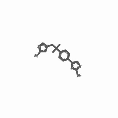 CCc1cc(CC(C)(C)c2ccc(-c3cnc(C(C)C)s3)cc2)cs1